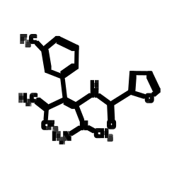 C=C(/C(=C(/NC(=O)c1ccco1)N(C)N)c1cccc(C(F)(F)F)c1)C(F)(F)F